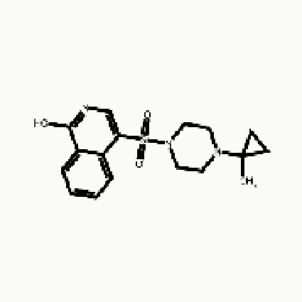 CC1(N2CCN(S(=O)(=O)c3cnc(O)c4ccccc34)CC2)CC1